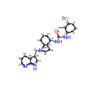 Cc1c(Br)cccc1NC(=O)Nc1cccc2c1ccn2Cc1c[nH]c2ncccc12